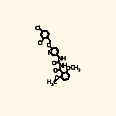 COc1cccc(OC)c1C(=O)NC(=O)Nc1ccc(OCc2ccc(Cl)cc2Cl)nc1